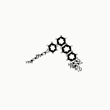 N=C=O.N=C=O.N=C=O.N=C=O.O.O.c1ccccc1.c1ccccc1.c1ccccc1.c1ccccc1